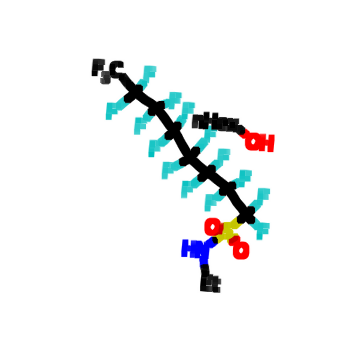 CCCCCCO.CCNS(=O)(=O)C(F)(F)C(F)(F)C(F)(F)C(F)(F)C(F)(F)C(F)(F)C(F)(F)C(F)(F)F